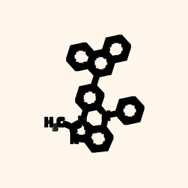 Cc1nc2cccc3c2n1-c1ccc(-c2cc4ccccc4c4ccccc24)cc1N3c1ccccc1